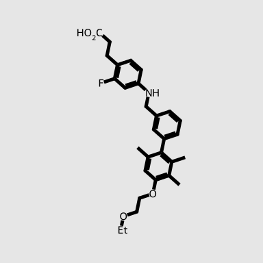 CCOCCOc1cc(C)c(-c2cccc(CNc3ccc(CCC(=O)O)c(F)c3)c2)c(C)c1C